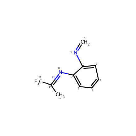 C=Nc1ccccc1/N=C(\C)C(F)(F)F